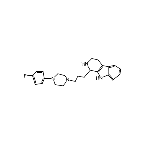 Fc1ccc(N2CCN(CCCC3NCCc4c3[nH]c3ccccc43)CC2)cc1